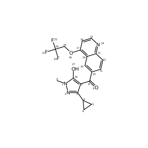 Cn1nc(C2CC2)c(C(=O)c2ccc3nccc(OCC(F)(F)F)c3c2)c1O